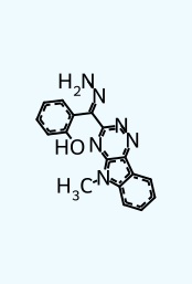 Cn1c2ccccc2c2nnc(/C(=N/N)c3ccccc3O)nc21